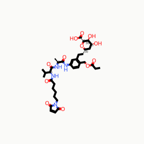 CCC(=O)OCc1ccc(NC(=O)[C@H](C)NC(=O)[C@@H](NC(=O)CCCCCN2C(=O)C=CC2=O)C(C)C)cc1CC[C@H]1C[C@@H](O)[C@H](O)[C@@H](C(=O)O)O1